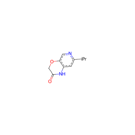 CC(C)c1cc2c(cn1)OCC(=O)N2